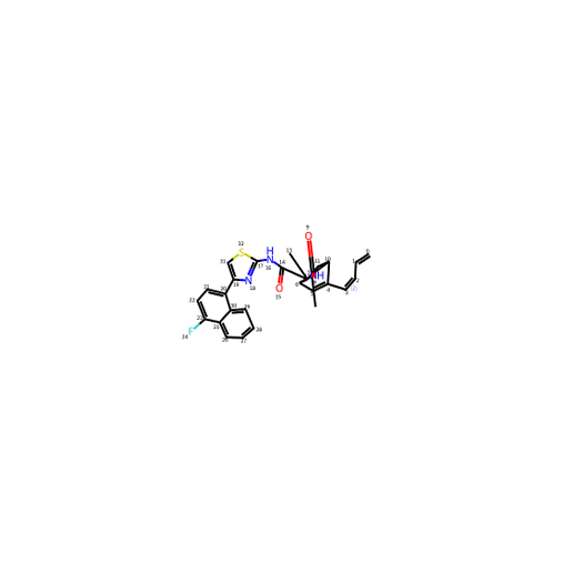 C=C/C=C\C1=CC2NC(=O)C1CC2(C)C(=O)Nc1nc(-c2ccc(F)c3ccccc23)cs1